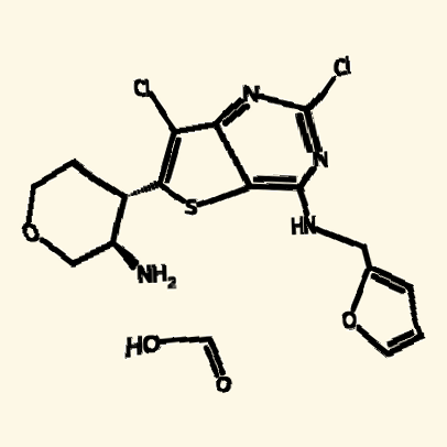 N[C@H]1COCC[C@@H]1c1sc2c(NCc3ccco3)nc(Cl)nc2c1Cl.O=CO